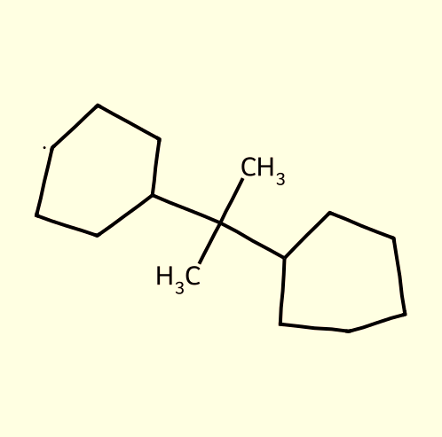 CC(C)(C1CC[CH]CC1)C1CCCCC1